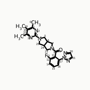 Cc1nc(N2CC3CN(C(=O)c4c(F)cccc4-n4nccn4)CC3C2)nc(C)c1C